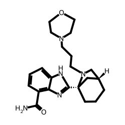 NC(=O)c1cccc2[nH]c([C@]34CCC[C@@H](CN3CCCN3CCOCC3)C4)nc12